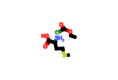 CCOC(=O)Cl.CSCCC(N)C(=O)O